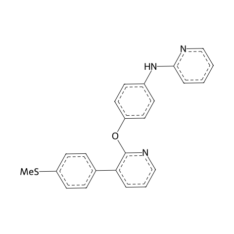 CSc1ccc(-c2cccnc2Oc2ccc(Nc3ccccn3)cc2)cc1